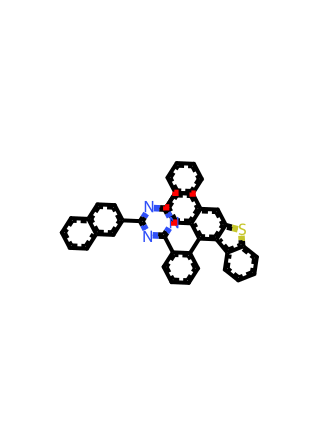 c1ccc(-c2nc(-c3ccc4ccccc4c3)nc(-c3ccccc3-c3c4ccccc4cc4sc5ccccc5c34)n2)cc1